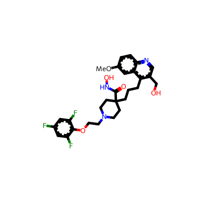 COc1ccc2ncc(CO)c(CCCC3(C(=O)NO)CCN(CCOc4c(F)cc(F)cc4F)CC3)c2c1